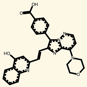 O=C(O)c1ccc(-c2c(/C=C/c3cc(O)c4ccccc4n3)nc3c(N4CCOCC4)ccnn23)cc1